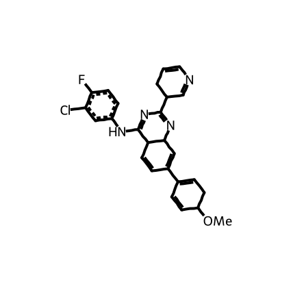 COC1C=CC(C2=CC3N=C(C4C=NC=CC4)N=C(Nc4ccc(F)c(Cl)c4)C3C=C2)=CC1